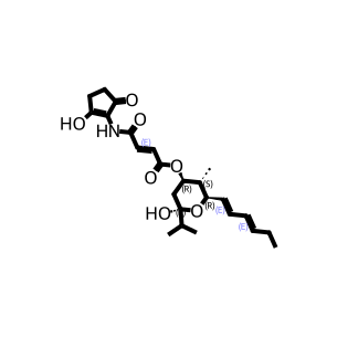 CC/C=C/C=C/[C@H]1O[C@@](O)(C(C)C)C[C@@H](OC(=O)/C=C/C(=O)NC2=C(O)CCC2=O)[C@@H]1C